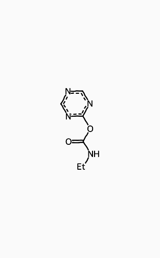 CCNC(=O)Oc1ncncn1